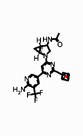 CC(=O)NC1CN(c2cc(-c3cnc(N)c(C(F)(F)F)c3)nc(N3CC4CC3C4)n2)[C@H]2C[C@H]12